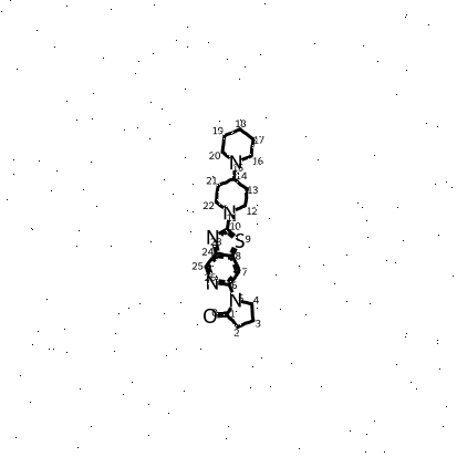 O=C1CCCN1c1cc2sc(N3CCC(N4CCCCC4)CC3)nc2cn1